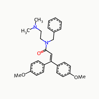 COc1ccc(C(=CC(=O)N(CCN(C)C)Cc2ccccc2)c2ccc(OC)cc2)cc1